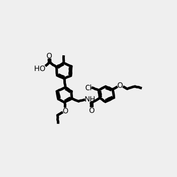 CCCOc1ccc(C(=O)NCc2cc(-c3ccc(C)c(C(=O)O)c3)ccc2OCC)c(Cl)c1